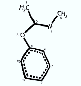 C[N]C(C)Oc1ccccc1